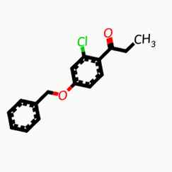 CCC(=O)c1ccc(OCc2ccccc2)cc1Cl